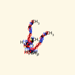 COc1ccc(COc2ccc3oc(N4CCN(CCOCCOCCOCCOCC(=O)N[C@H](C(=O)N5C[C@H](O)C[C@H]5C(=O)NCc5ccc(-c6scnc6CCC(C)(C)[C@H](NC(=O)COCCOCCOCCN6CCN(c7nc8cc(OCc9ccc(OC)cn9)ccc8o7)CC6)C(=O)N6C[C@H](O)C[C@H]6C(=O)NCc6ccc(-c7scnc7C)cc6)cc5)C(C)(C)C)CC4)nc3c2)nc1